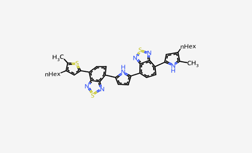 CCCCCCc1cc(-c2ccc(-c3ccc(-c4ccc(-c5cc(CCCCCC)c(C)s5)c5nsnc45)[nH]3)c3nsnc23)[nH]c1C